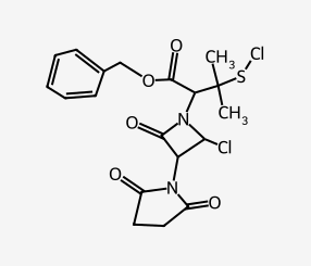 CC(C)(SCl)C(C(=O)OCc1ccccc1)N1C(=O)C(N2C(=O)CCC2=O)C1Cl